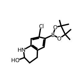 CC1(C)OB(c2cc3c(cc2Cl)NC(O)CC3)OC1(C)C